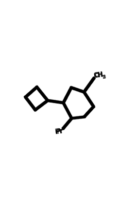 CC1CCC(C(C)C)C(C2CCC2)C1